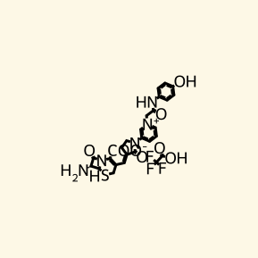 N[C@@H]1C(=O)N2C(C(=O)[O-])=C(C=C3CCN(c4ccc[n+](CC(=O)Nc5ccc(O)cc5)c4)C3=O)CS[C@H]12.O=C(O)C(F)(F)F